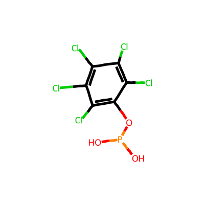 OP(O)Oc1c(Cl)c(Cl)c(Cl)c(Cl)c1Cl